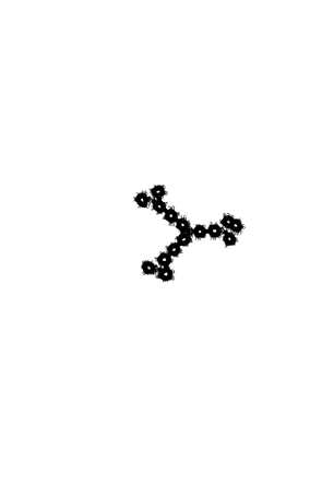 c1ccc(N(c2ccc(-c3ccc(-n4c5ccc(-c6ccc(-c7ccc8c(c7)c7ccccc7n8-c7ccccc7)cc6)cc5c5cc(-c6ccc(-c7ccc8c(c7)c7ccccc7n8-c7ccccc7)cc6)ccc54)cc3)cc2)c2cccc3ccccc23)cc1